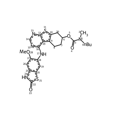 CCCCN(C)C(=O)OC1CCc2c(sc3ncnc(Nc4cc5sc(=O)[nH]c5cc4OC)c23)C1